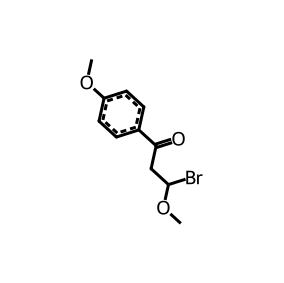 COc1ccc(C(=O)CC(Br)OC)cc1